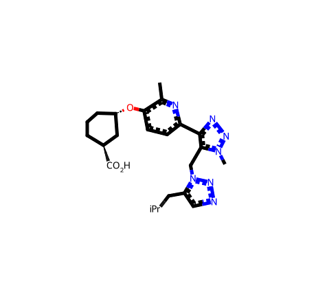 Cc1nc(-c2nnn(C)c2Cn2nncc2CC(C)C)ccc1O[C@H]1CCC[C@H](C(=O)O)C1